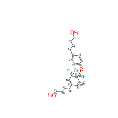 OCCCCc1ccc(OC(F)(F)c2c(F)cc(CCCCO)cc2F)cc1